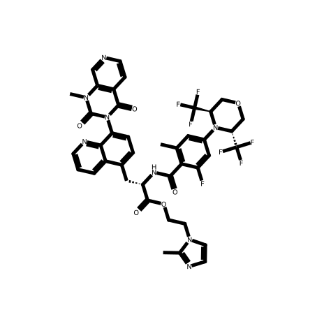 Cc1cc(N2[C@@H](C(F)(F)F)COC[C@@H]2C(F)(F)F)cc(F)c1C(=O)N[C@@H](Cc1ccc(-n2c(=O)c3ccncc3n(C)c2=O)c2ncccc12)C(=O)OCCn1ccnc1C